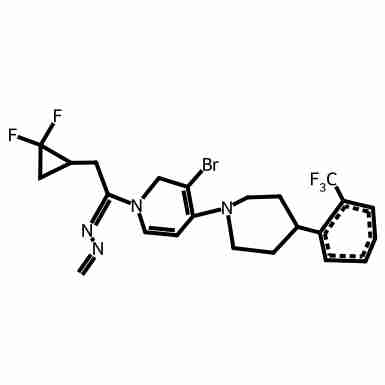 C=N/N=C(/CC1CC1(F)F)N1C=CC(N2CCC(c3ccccc3C(F)(F)F)CC2)=C(Br)C1